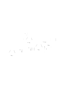 CCc1cc2cc(C(NC3CCCN(Cc4ccccc4)C3)c3ccc4c(c3)OCCO4)ccc2[nH]c1=O